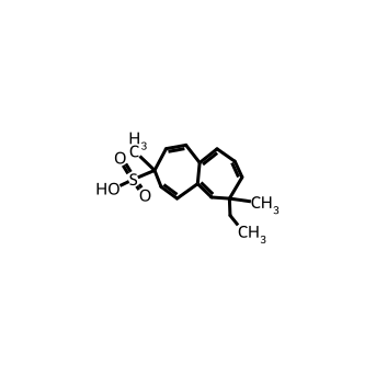 CCC1(C)C=CC=C2C=CC(C)(S(=O)(=O)O)C=CC2=C1